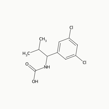 CC(C)C(NC(=O)O)c1cc(Cl)cc(Cl)c1